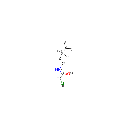 CC(C)C(C)(C)CCNC(=O)CCl